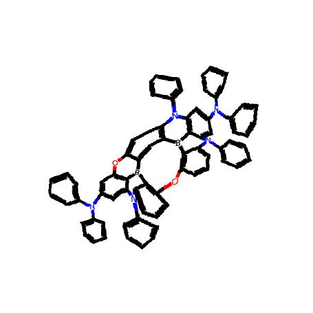 c1ccc(N(c2ccccc2)c2cc3c4c(c2)N(c2ccccc2)c2cccc5c2B4c2cc4c(cc2O3)N(c2ccccc2)c2cc(N(c3ccccc3)c3ccccc3)cc3c2B4c2c(cccc2N3c2ccccc2)O5)cc1